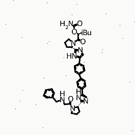 CCC(C)[C@H](OC(N)=O)C(=O)N1CCC[C@H]1c1ncc(-c2ccc(-c3ccc(-c4cnc([C@@H]5CCCN5C(=O)CNCc5ccccc5)[nH]4)cc3)cc2)[nH]1